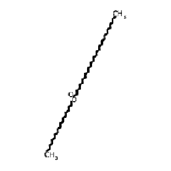 CCCCCCCCCCCCCCCCCCCCCCCCCCCCCCC(=O)OCCCCCCCCCCCCCCCCCCCC